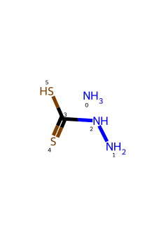 N.NNC(=S)S